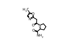 Cc1cnc(CC(=O)N2CCCC2C(N)=O)o1